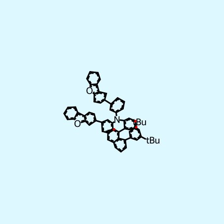 CC(C)(C)c1cc(-c2cccc3cccc(-c4ccccc4N(c4cccc(-c5ccc6c(c5)oc5ccccc56)c4)c4cccc(-c5ccc6oc7ccccc7c6c5)c4)c23)cc(C(C)(C)C)c1